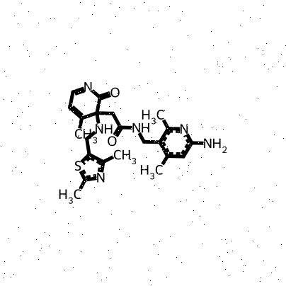 CC1=CC=NC(=O)C1(CC(=O)NCc1c(C)cc(N)nc1C)NCc1sc(C)nc1C